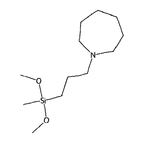 CO[Si](C)(CCCN1CCCCCC1)OC